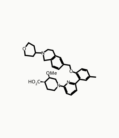 CO[C@H]1CN(c2cccc(-c3cc(C)ccc3OCc3ccc4c(c3)CCN(C3CCOCC3)C4)n2)CC[C@H]1C(=O)O